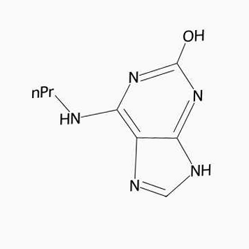 CCCNc1nc(O)nc2[nH]cnc12